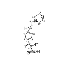 C=C(c1ccc(NCCN2CCOCC2)cc1)[C@@H](I)C(=O)O